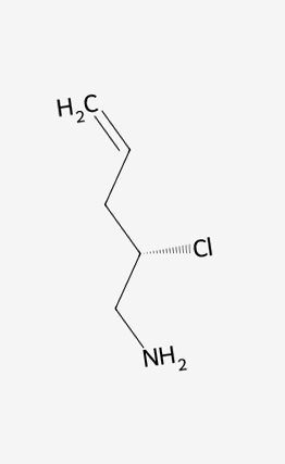 C=CC[C@H](Cl)CN